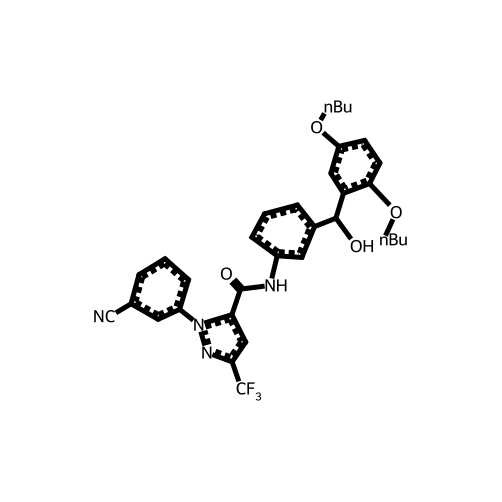 CCCCOc1ccc(OCCCC)c(C(O)c2cccc(NC(=O)c3cc(C(F)(F)F)nn3-c3cccc(C#N)c3)c2)c1